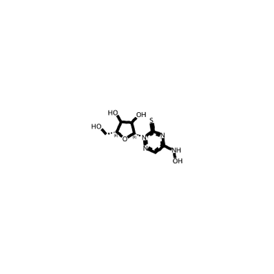 OC[C@H]1O[C@@H](n2ncc(NO)nc2=S)C(O)C1O